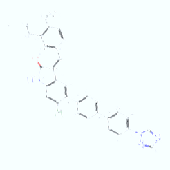 COc1ccc(C=C2C(=O)Nc3cc(Cl)c(-c4ccc(-c5ccc(-n6cncn6)cc5)cc4)cc32)cc1CC=O